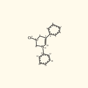 ClN1CC(c2ccccc2)=CN(c2ccccc2)C1